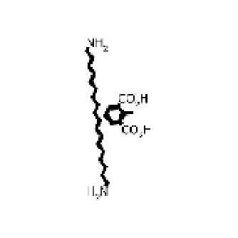 Cc1c(C(=O)O)cccc1C(=O)O.NCCCCCCCCCCCCCCCCCCN